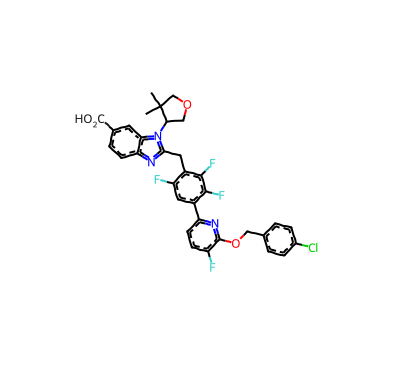 CC1(C)COCC1n1c(Cc2c(F)cc(-c3ccc(F)c(OCc4ccc(Cl)cc4)n3)c(F)c2F)nc2ccc(C(=O)O)cc21